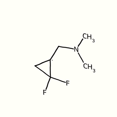 CN(C)C[C]1CC1(F)F